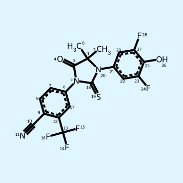 CC1(C)C(=O)N(c2ccc(C#N)c(C(F)(F)F)c2)C(=S)N1c1cc(F)c(O)c(F)c1